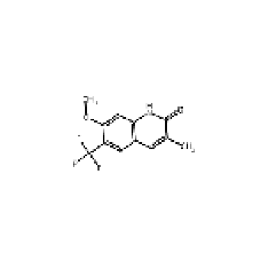 COc1cc2[nH]c(=O)c(C)cc2cc1C(F)(F)F